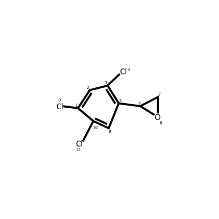 Clc1cc(Cl)c(C2CO2)cc1Cl